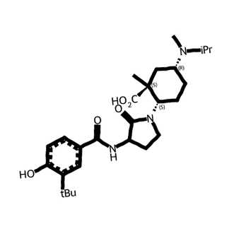 CC(C)N(C)[C@@H]1CC[C@H](N2CCC(NC(=O)c3ccc(O)c(C(C)(C)C)c3)C2=O)[C@@](C)(C(=O)O)C1